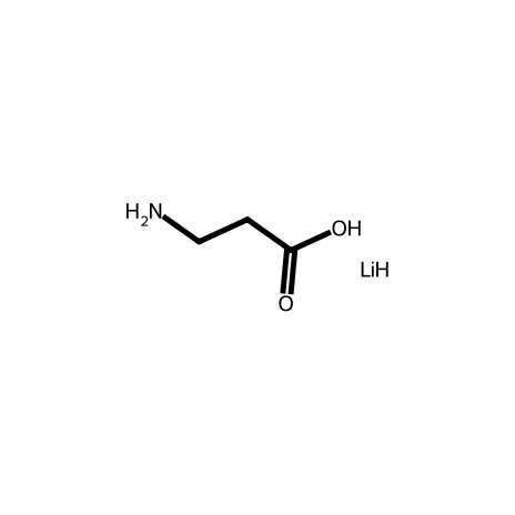 NCCC(=O)O.[LiH]